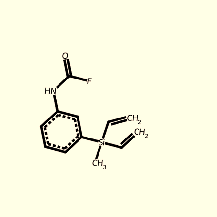 C=C[Si](C)(C=C)c1cccc(NC(=O)F)c1